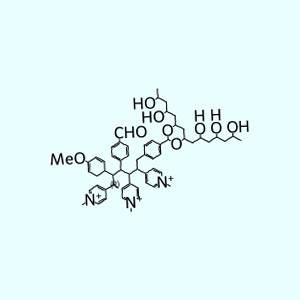 COC1=CCC(C(C(c2ccc(C=O)cc2)C(c2cc[n+](C)cc2)C(Cc2ccc(C3OC(CC(O)CC(C)O)CC(CC(O)CC(O)CC(C)O)O3)cc2)c2cc[n+](C)cc2)[C@@H](C)c2cc[n+](C)cc2)C=C1